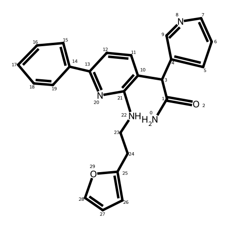 NC(=O)C(c1cccnc1)c1ccc(-c2ccccc2)nc1NCCc1ccco1